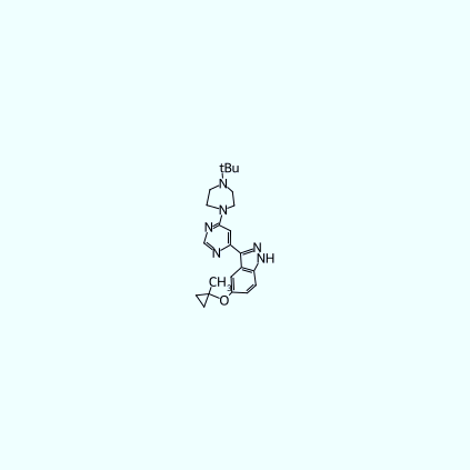 CC1(Oc2ccc3[nH]nc(-c4cc(N5CCN(C(C)(C)C)CC5)ncn4)c3c2)CC1